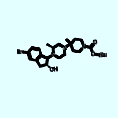 C[C@H]1CN(C2(C)CCN(C(=O)OC(C)(C)C)CC2)CCN1C1c2ccc(Br)cc2C[C@H]1O